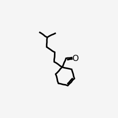 CC(C)CCCC1(C=O)CC=CCC1